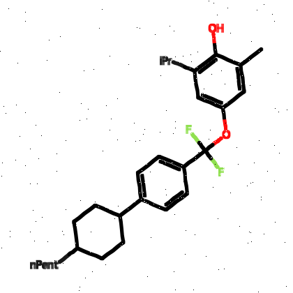 CCCCCC1CCC(c2ccc(C(F)(F)Oc3cc(C)c(O)c(C(C)C)c3)cc2)CC1